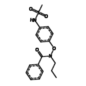 CCCN(Oc1ccc(NS(C)(=O)=O)cc1)C(=O)c1ccccc1